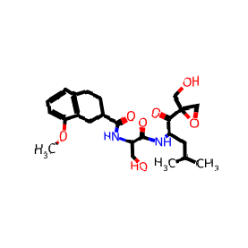 COc1cccc2c1CC(C(=O)NC(CO)C(=O)NC(CC(C)C)C(=O)C1(CO)CO1)CC2